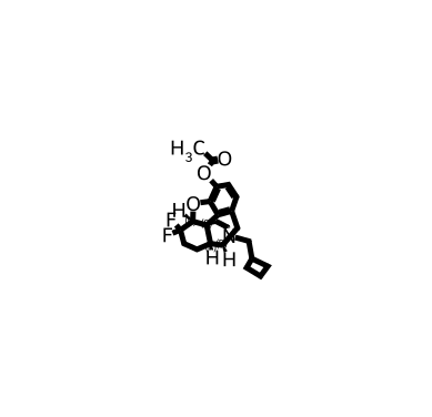 CC(=O)Oc1ccc2c3c1O[C@H]1C(F)(F)CC[C@H]4[C@@H](C2)N(CC2CCC2)CC[C@@]341